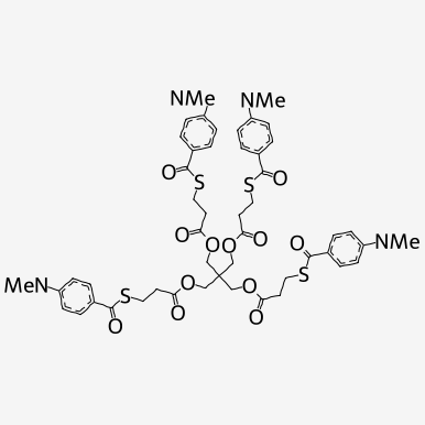 CNc1ccc(C(=O)SCCC(=O)OCC(COC(=O)CCSC(=O)c2ccc(NC)cc2)(COC(=O)CCSC(=O)c2ccc(NC)cc2)COC(=O)CCSC(=O)c2ccc(NC)cc2)cc1